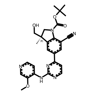 COc1cnccc1Nc1nccc(-c2cc(C#N)c3c(c2)[C@@](C)(CO)CN3C(=O)OC(C)(C)C)n1